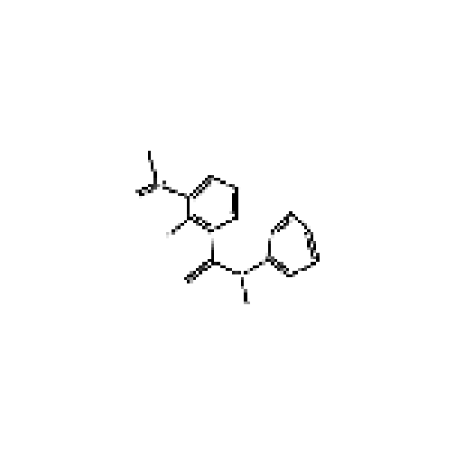 C=C(c1cccc([N+](=C)C)c1F)N(C)c1ccccc1